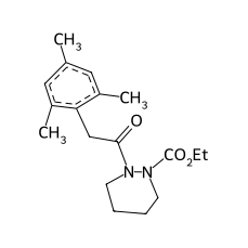 CCOC(=O)N1CCCCN1C(=O)Cc1c(C)cc(C)cc1C